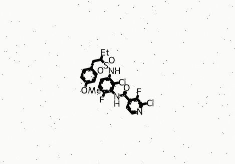 CCC(Cc1ccc(OC)cc1)S(=O)(=O)Nc1ccc(F)c(NC(=O)c2ccnc(Cl)c2F)c1Cl